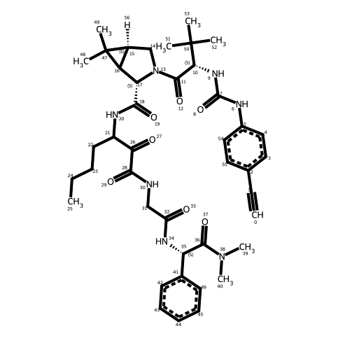 C#Cc1ccc(NC(=O)N[C@H](C(=O)N2C[C@H]3C([C@H]2C(=O)NC(CCCC)C(=O)C(=O)NCC(=O)N[C@H](C(=O)N(C)C)c2ccccc2)C3(C)C)C(C)(C)C)cc1